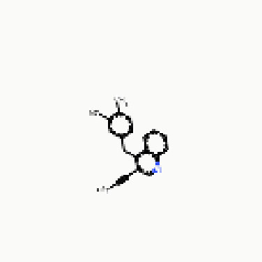 CCCC#Cc1cnc2ccccc2c1Cc1ccc(C)c(C#N)c1